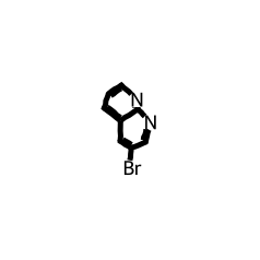 Brc1cnc2ncccc2c1